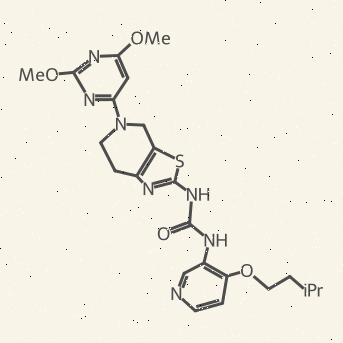 COc1cc(N2CCc3nc(NC(=O)Nc4cnccc4OCCC(C)C)sc3C2)nc(OC)n1